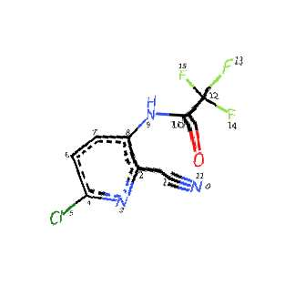 N#Cc1nc(Cl)ccc1NC(=O)C(F)(F)F